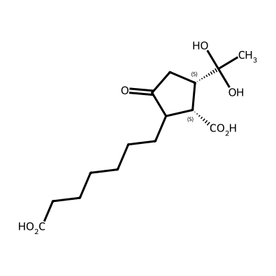 CC(O)(O)[C@H]1CC(=O)C(CCCCCCC(=O)O)[C@H]1C(=O)O